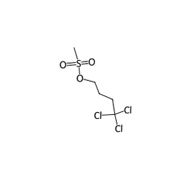 CS(=O)(=O)OCCCC(Cl)(Cl)Cl